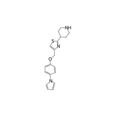 c1ccn(-c2ccc(OCc3csc(C4CCNCC4)n3)cc2)c1